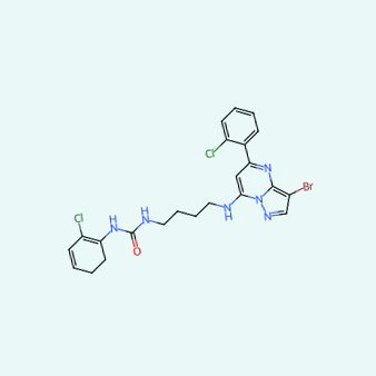 O=C(NCCCCNc1cc(-c2ccccc2Cl)nc2c(Br)cnn12)NC1=C(Cl)C=CCC1